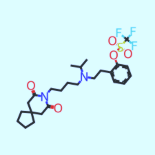 CC(C)N(CCCCN1C(=O)CC2(CCCC2)CC1=O)CCc1ccccc1OS(=O)(=O)C(F)(F)F